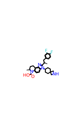 C[C@H](Cc1ccc(F)c(F)c1)c1nc2c3c(ccc2n1C1CCC2(CC1)CNC2)N(C(=O)O)[C@@H](C)CC3